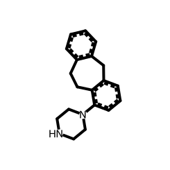 c1ccc2c(c1)CCc1c(cccc1N1CCNCC1)C2